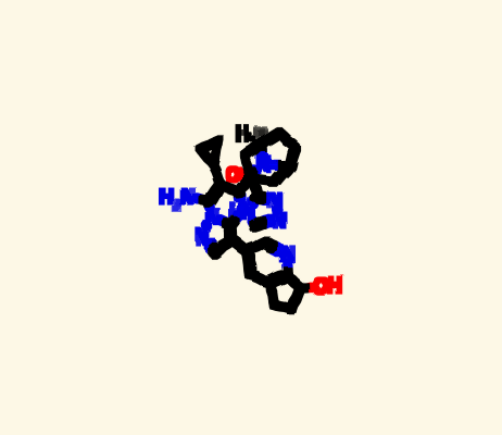 Nc1c(C2CC2)c(C2CC3CC[C@H](C2)N3C(=O)c2nnc[nH]2)nc2c(-c3cnc4c(c3)CCC4O)cnn12